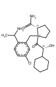 CC(N)c1ccc(Cl)cc1C[N+]1(C(=O)[C@H](O)C2CCCCC2)CCC[C@H]1C(N)=O